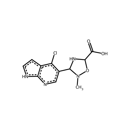 CN1OC(C(=O)O)NC1c1cnc2[nH]ccc2c1Cl